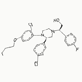 OC[C@@H](c1ccc(F)cc1)N1CCN(c2ccc(OCCI)cc2Cl)[C@H](c2ccc(Cl)cc2)C1